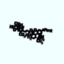 C=C(C)[C@@H]1CCC(C)=C[C@H]1c1c(O)cc(CCCCC)cc1OC(=O)OC/C=C/C1=C(C(=O)O)N2C(=O)[C@](C)([C@@H](C)O)[C@H]2S1